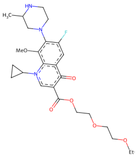 C[CH]OCCOCCOC(=O)c1cn(C2CC2)c2c(OC)c(N3CCNC(C)C3)c(F)cc2c1=O